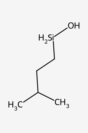 CC(C)CC[SiH2]O